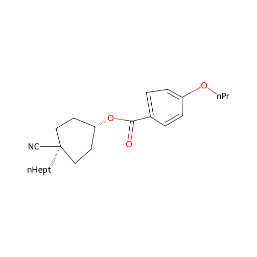 CCCCCCC[C@]1(C#N)CC[C@H](OC(=O)c2ccc(OCCC)cc2)CC1